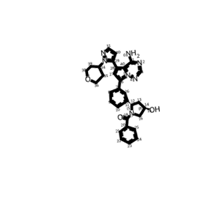 Nc1ncnn2c(-c3cccc([C@@H]4C[C@@H](O)CN4C(=O)c4ccccc4)c3)cc(-c3ccnn3C3CCOCC3)c12